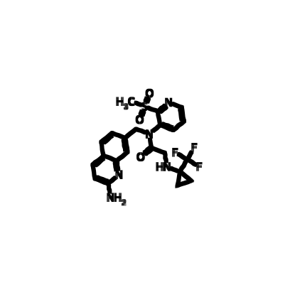 CS(=O)(=O)c1ncccc1N(Cc1ccc2ccc(N)nc2c1)C(=O)CNC1(C(F)(F)F)CC1